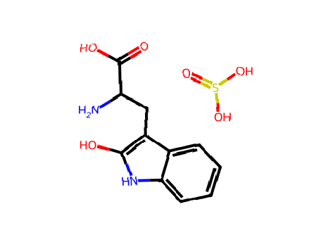 NC(Cc1c(O)[nH]c2ccccc12)C(=O)O.O=S(O)O